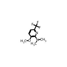 COc1ccc(C(F)(F)F)nc1N(C)C